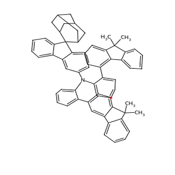 CC1(C)c2ccccc2-c2cc(-c3ccccc3N(c3ccc4c(c3)-c3ccccc3C43C4CC5CC(C4)CC3C5)c3ccccc3-c3cccc4c3-c3ccccc3C4(C)C)ccc21